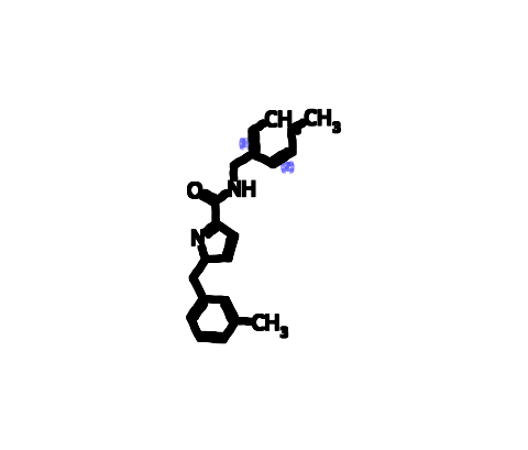 C/C=C(\C=C/CC)CNC(=O)C1=NC(Cc2cccc(C)c2)C=C1